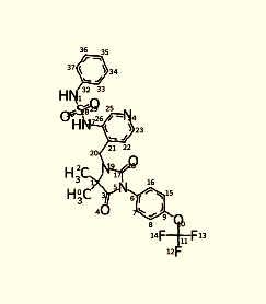 CC1(C)C(=O)N(c2ccc(OC(F)(F)F)cc2)C(=O)N1Cc1ccncc1NS(=O)(=O)Nc1ccccc1